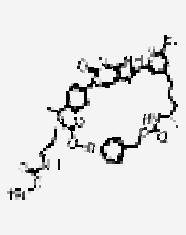 CCc1cc(CCC[C@H](C)NC(=O)OCc2ccccc2)cc(-c2cc3cn(-c4ccc([C@H](C)N(CCCNC(=O)OC(C)(C)C)C(=O)OC(C)(C)C)cc4)c(=O)nc3[nH]2)n1